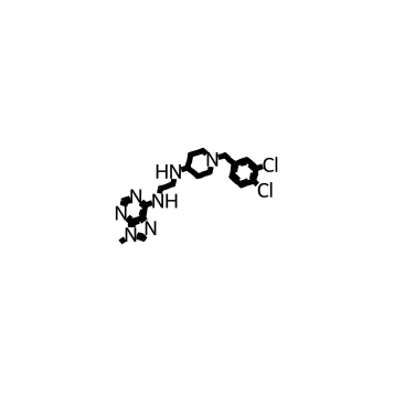 Cn1cnc2c(NCCNC3CCN(Cc4ccc(Cl)c(Cl)c4)CC3)ncnc21